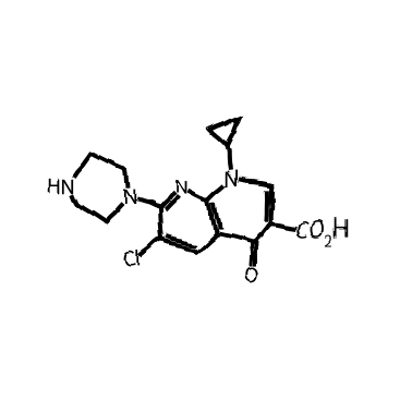 O=C(O)c1cn(C2CC2)c2nc(N3CCNCC3)c(Cl)cc2c1=O